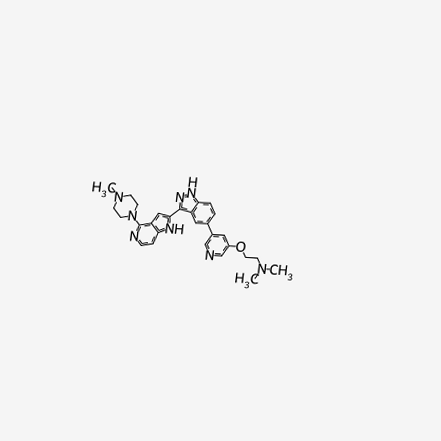 CN(C)CCOc1cncc(-c2ccc3[nH]nc(-c4cc5c(N6CCN(C)CC6)nccc5[nH]4)c3c2)c1